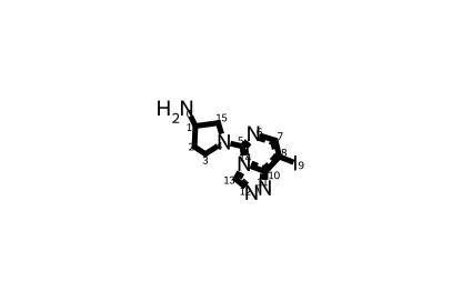 NC1CCN(c2ncc(I)c3nncn23)C1